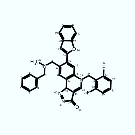 CN(Cc1ccccc1)Cc1cc2c(cc1-c1cc3ccccc3o1)N(Cc1c(F)cccc1F)C=C1C(=O)N=NC12